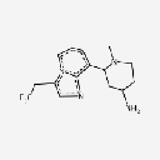 CN1CCC(N)CC1c1cccn2c(CC(F)(F)F)cnc12